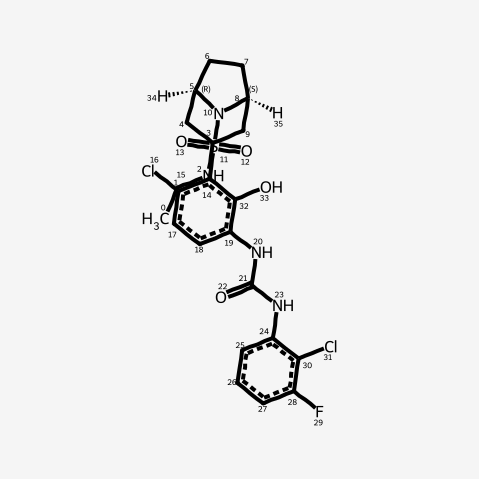 CCNC1C[C@H]2CC[C@@H](C1)N2S(=O)(=O)c1c(Cl)ccc(NC(=O)Nc2cccc(F)c2Cl)c1O